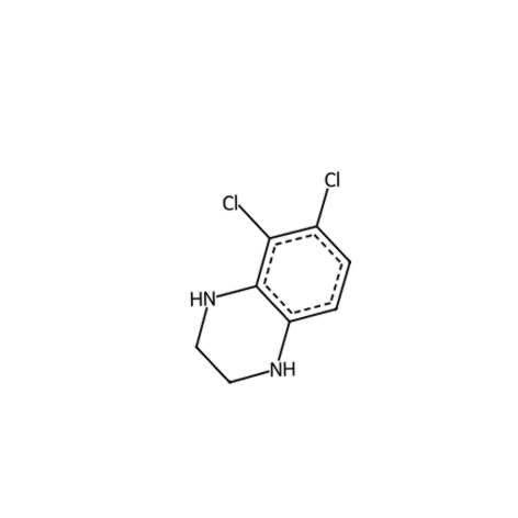 Clc1ccc2c(c1Cl)NCCN2